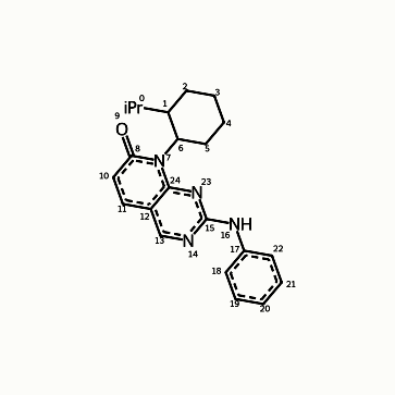 CC(C)C1CCCCC1n1c(=O)ccc2cnc(Nc3ccccc3)nc21